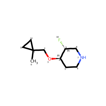 CC1(CO[C@@H]2CCNC[C@H]2F)CC1